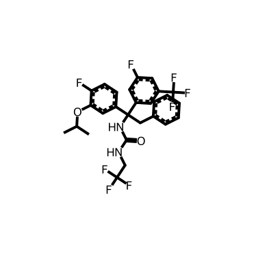 CC(C)Oc1cc(C(Cc2ccccc2)(NC(=O)NCC(F)(F)F)c2cc(F)cc(C(F)(F)F)c2)ccc1F